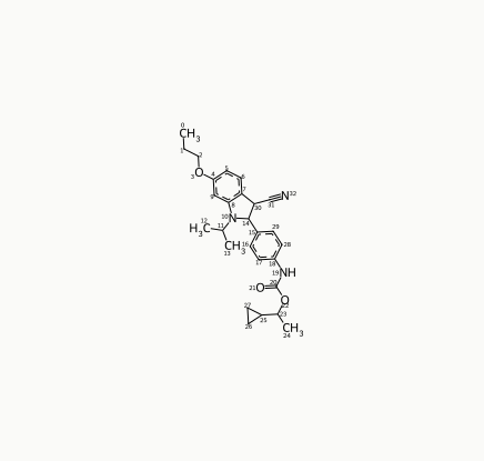 CCCOc1ccc2c(c1)N(C(C)C)C(c1ccc(NC(=O)OC(C)C3CC3)cc1)C2C#N